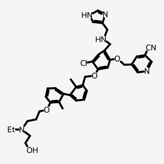 CCN(CCO)CCCOc1cccc(-c2cccc(COc3cc(OCc4cncc(C#N)c4)c(CNCc4c[nH]cn4)cc3Cl)c2C)c1C